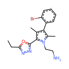 CCc1nnc(-c2c(C)c(-c3cc[c]cc3Br)c(C)n2CCN)o1